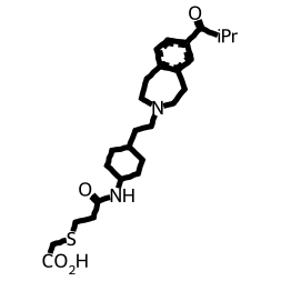 CC(C)C(=O)c1ccc2c(c1)CCN(CCC1CCC(NC(=O)CCSCC(=O)O)CC1)CC2